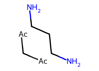 CC(=O)CC(C)=O.NCCCN